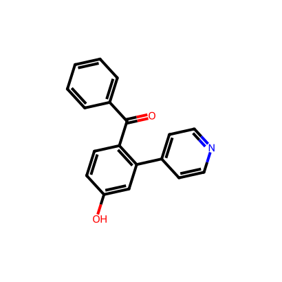 O=C(c1ccccc1)c1ccc(O)cc1-c1ccncc1